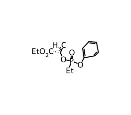 CCOC(=O)[C@H](C)OP(=O)(CC)Oc1ccccc1